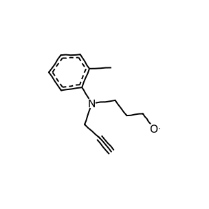 C#CCN(CCC[O])c1ccccc1C